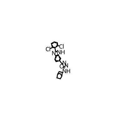 Clc1cccc(Cl)c1-c1nc2ccc(-c3nnc(NC4CC5CCC4C5)o3)cc2[nH]1